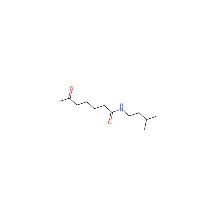 CC(=O)CCCCC(=O)NCCC(C)C